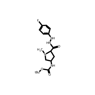 CN1CC(NC(=O)OC(C)(C)C)CC1C(=O)NNc1ccc(F)cc1